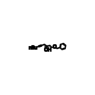 CCCCC#CC[C@@H](O)CCOCc1ccccc1